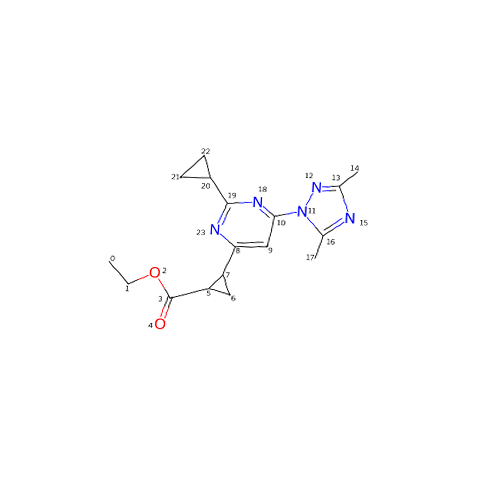 CCOC(=O)C1CC1c1cc(-n2nc(C)nc2C)nc(C2CC2)n1